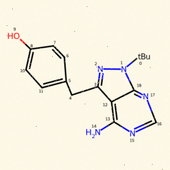 CC(C)(C)n1nc(Cc2ccc(O)cc2)c2c(N)ncnc21